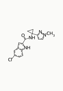 Cn1ccc(C2(NC(=O)c3cc4cc(Cl)ccc4[nH]3)CC2)n1